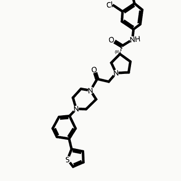 O=C(Nc1ccc(O)c(Cl)c1)[C@@H]1CCN(CC(=O)N2CCN(c3cccc(-c4cccs4)c3)CC2)C1